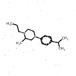 CCCN1CCN(c2ccc(C(C)C)cc2)CC1C